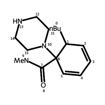 CCCCC1C=CC=CC1(C(=O)NC)N1CCNCC1